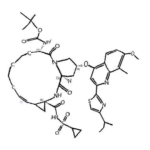 COc1ccc2c(O[C@@H]3C[C@H]4C(=O)N[C@]5(C(=O)NS(=O)(=O)C6CC6)CC5/C=C\CCCCC[C@H](NC(=O)OC(C)(C)C)C(=O)N4C3)cc(-c3nc(C(C)C)cs3)nc2c1C